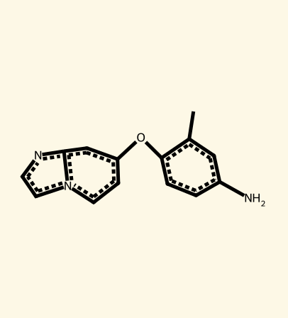 Cc1cc(N)ccc1Oc1ccn2ccnc2c1